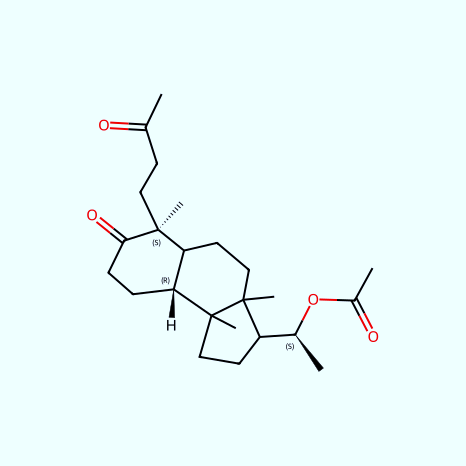 CC(=O)CC[C@]1(C)C(=O)CC[C@@H]2C1CCC1(C)C([C@H](C)OC(C)=O)CCC21C